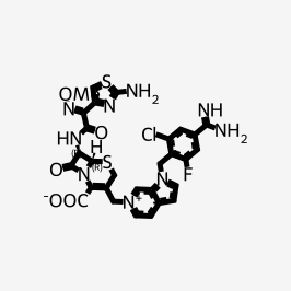 CON=C(C(=O)N[C@@H]1C(=O)N2C(C(=O)[O-])=C(C[n+]3ccc4ccn(Cc5c(F)cc(C(=N)N)cc5Cl)c4c3)CS[C@H]12)c1csc(N)n1